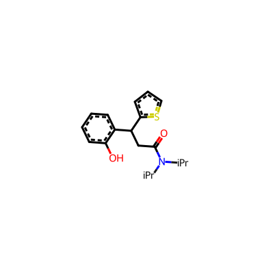 CC(C)N(C(=O)CC(c1cccs1)c1ccccc1O)C(C)C